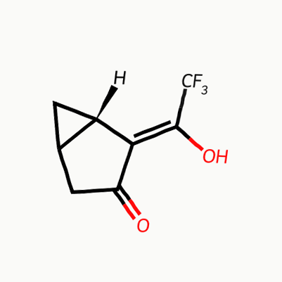 O=C1CC2C[C@@H]2/C1=C(/O)C(F)(F)F